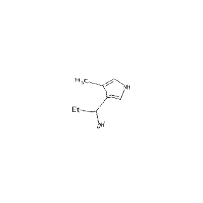 CCC(O)c1c[nH]cc1C